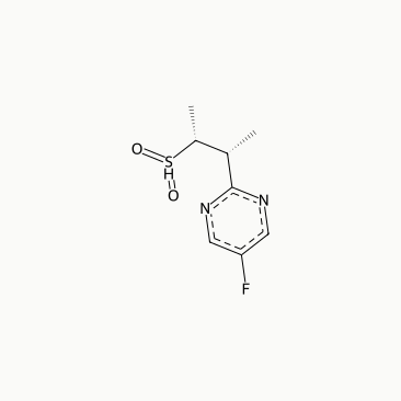 C[C@H](c1ncc(F)cn1)[C@@H](C)[SH](=O)=O